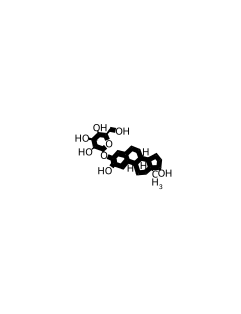 C[C@]12CC[C@@H]3c4cc(O)c(O[C@@H]5O[C@H](CO)[C@@H](O)[C@H](O)[C@H]5O)cc4CC[C@H]3[C@@H]1CC[C@@H]2O